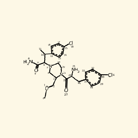 COCC1CN(C(C(N)=O)C(C)c2ccc(Cl)cc2)CCN1C(=O)C(N)Cc1ccc(Cl)cc1